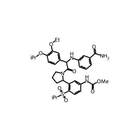 CCOc1cc(C(Nc2cccc(C(N)=O)c2)C(=O)N2CCCC2c2cc(NC(=O)OC)ccc2S(=O)(=O)C(C)C)ccc1OC(C)C